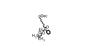 CCCCCCCCCCCCCCCCCC(=O)N(c1ccccc1)C(CC)OC(=O)CN(C)C